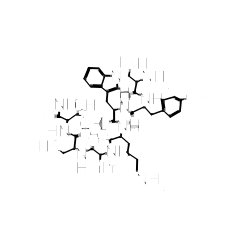 CC(C)C(NC(=O)C(CCCCN)NC(=O)C(Cc1c[nH]c2ccccc12)NC(=O)C(Cc1ccc(O)cc1)NC(=O)C(N)CS)C(=O)NC(CS)C(=O)NC(C(N)=O)C(C)O